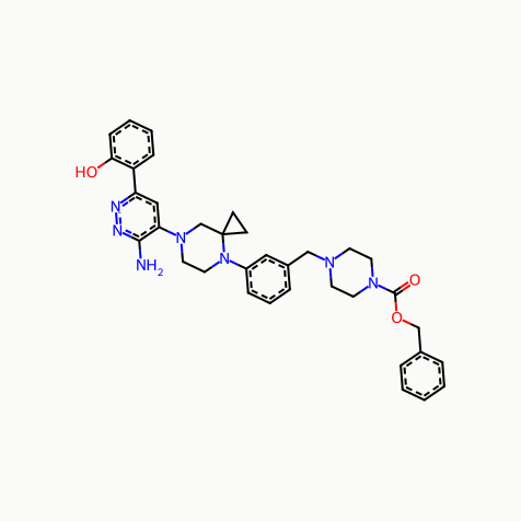 Nc1nnc(-c2ccccc2O)cc1N1CCN(c2cccc(CN3CCN(C(=O)OCc4ccccc4)CC3)c2)C2(CC2)C1